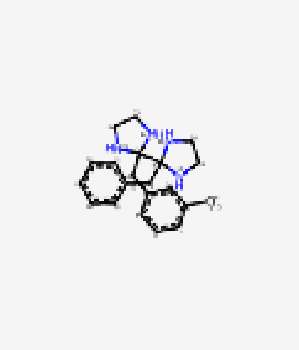 FC(F)(F)c1cccc(CC2(C3(Cc4ccccc4)NCCN3)NCCN2)c1